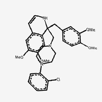 COc1ccc(CC2(CN3CCN(c4ccccc4Cl)CC3)NC=Cc3cc(OC)c(OC)cc32)cc1OC